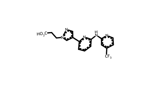 O=C(O)CCn1cc(-c2cccc(Nc3cc(C(F)(F)F)ccn3)n2)cn1